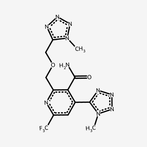 Cn1nnnc1COCc1nc(C(F)(F)F)cc(-c2nnnn2C)c1C(N)=O